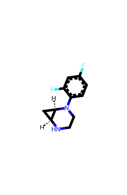 Fc1ccc(N2CCN[C@H]3C[C@H]32)c(F)c1